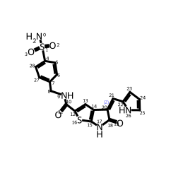 NS(=O)(=O)c1ccc(CNC(=O)c2cc3c(s2)NC(=O)/C3=C\c2ccc[nH]2)cc1